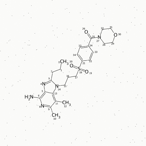 CCCc1nc2c(N)nc(C)c(C)c2n1CCCS(=O)(=O)c1ccc(C(=O)N2CCOCC2)cc1